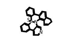 S=P12c3ccccc3-c3ccncc3N1c1c(ccc3c1C=CCC3)-c1ccccc12